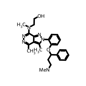 CNCCC(Oc1ccccc1-n1nc2c(N(C)CCO)nnc(C)c2c1C)c1ccccc1